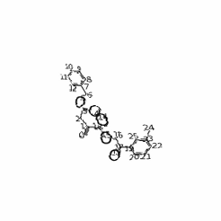 C=C(CC(=O)OCc1ccccc1)C(=O)OCC(=O)c1cccc(C)c1